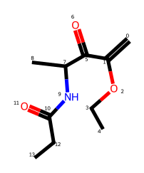 C=C(OCC)C(=O)C(C)NC(=O)CC